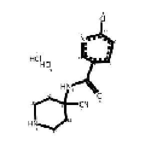 Cl.Cl.N#CC1(NC(=O)c2ccc(Cl)nc2)CCNCC1